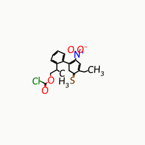 CCC1=CC([N+](=O)[O-])=C(c2ccccc2C(C)COC(=O)Cl)CC1=S